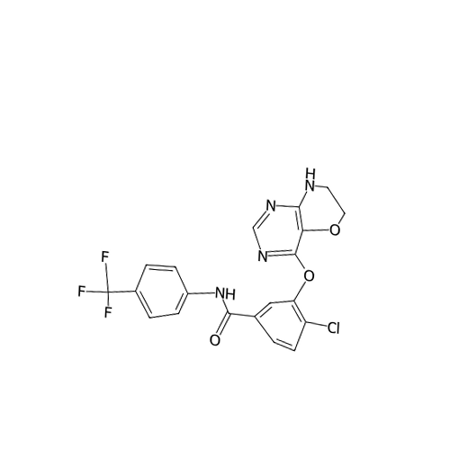 O=C(Nc1ccc(C(F)(F)F)cc1)c1ccc(Cl)c(Oc2ncnc3c2OCCN3)c1